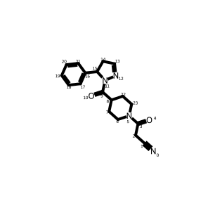 N#CCC(=O)N1CCC(C(=O)N2N=CCC2c2ccccc2)CC1